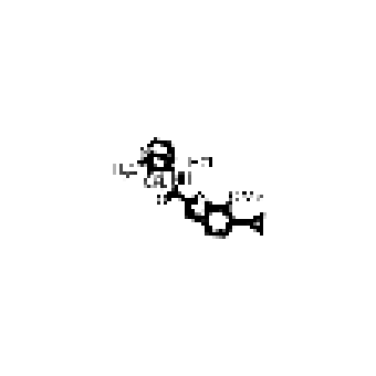 COc1c(C2CC2)ccc2cc(C(=O)N[C@@H]3C4CCN(CC4)C3(C)C)sc12.Cl